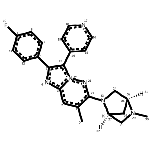 Cc1cc2nc(-c3ccc(F)cc3)c(-c3ccncc3)n2nc1N1C[C@@H]2C[C@H]1CN2C